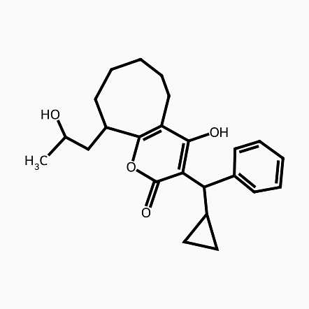 CC(O)CC1CCCCCc2c1oc(=O)c(C(c1ccccc1)C1CC1)c2O